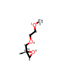 CCOCCOC[C@@]1(C)CO1